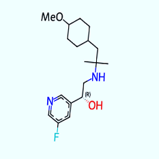 COC1CCC(CC(C)(C)NC[C@H](O)c2cncc(F)c2)CC1